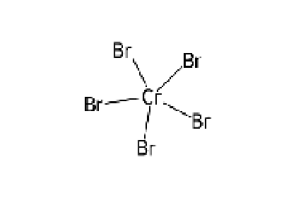 [Br][Cr]([Br])([Br])([Br])[Br]